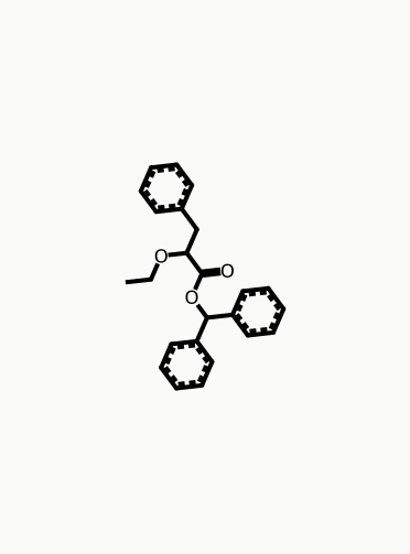 CCOC(Cc1ccccc1)C(=O)OC(c1ccccc1)c1ccccc1